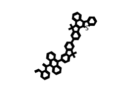 C=Cc1ccccc1C(=C)c1c2ccccc2c(-c2ccc3c(c2)-c2ccc(-c4ccc5c(c4)C(C)(C)c4c-5c5sc6ccccc6c5c5ccccc45)cc2C3(C)C)c2ccccc12